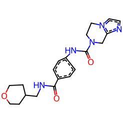 O=C(NCC1CCOCC1)c1ccc(NC(=O)N2CCn3ccnc3C2)cc1